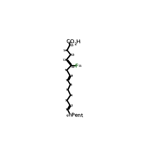 CCCCC/C=C/CCCC/C=C/C/C(F)=C/CCCC(=O)O